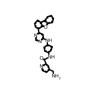 NCc1ccnc(C(=O)Nc2ccc(Nc3cc(-c4cccc5c4oc4ccccc45)ncn3)cc2)c1